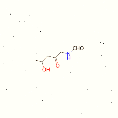 CC(O)CC(=O)CNC=O